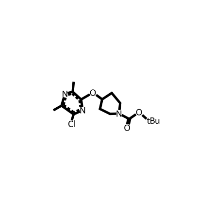 Cc1nc(C)c(OC2CCN(C(=O)OC(C)(C)C)CC2)nc1Cl